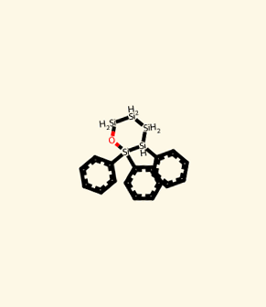 c1ccc([SiH]2[SiH2][SiH2][SiH2]O[Si]2(c2ccccc2)c2ccccc2)cc1